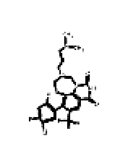 CN(C)CCC[C@@H]1CSc2c(-c3cc(Cl)c(F)cc3F)c(C(F)(F)F)cc3c(=O)[nH]c(=O)n(c23)C1